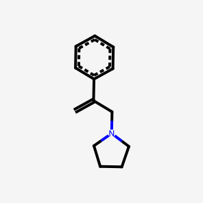 C=C(CN1CCCC1)c1ccccc1